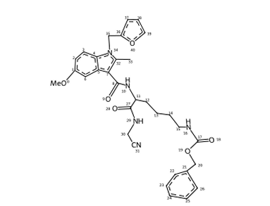 COc1ccc2c(c1)c(C(=O)NC(CCCCNC(=O)OCc1ccccc1)C(=O)NCC#N)c(C)n2Cc1ccco1